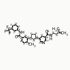 Cc1ccc(C(=O)Nc2cccc(C(F)(F)F)c2)cc1C1CCN(c2cncc(C(=O)NCCN(C)C)c2)C1